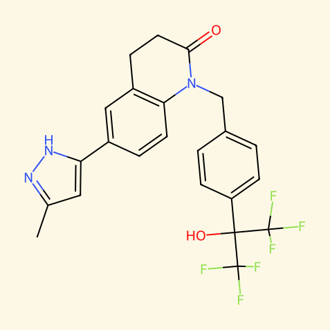 Cc1cc(-c2ccc3c(c2)CCC(=O)N3Cc2ccc(C(O)(C(F)(F)F)C(F)(F)F)cc2)[nH]n1